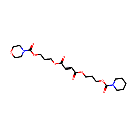 O=C(/C=C/C(=O)OCCCOC(=O)N1CCOCC1)OCCCOC(=O)N1CCCCC1